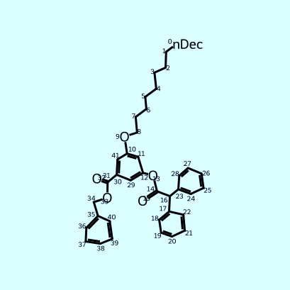 CCCCCCCCCCCCCCCCCCOc1cc(OC(=O)C(c2ccccc2)c2ccccc2)cc(C(=O)OCc2ccccc2)c1